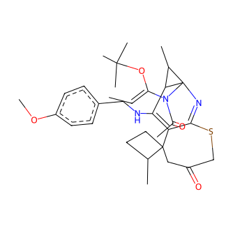 CC=C(OC(C)(C)C)N(C(C)=O)C12N=C3SCC(=O)CC4(CCC4C)C3=C(NCc3ccc(OC)cc3)C1C2C